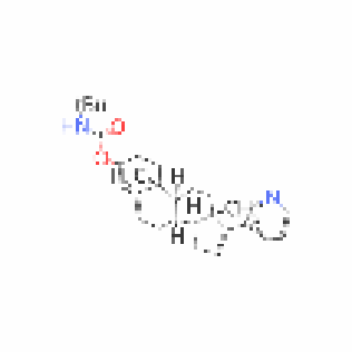 CC(C)(C)NC(=O)O[C@H]1CC[C@@]2(C)C(=CC[C@@H]3[C@@H]2CC[C@]2(C)C(c4cccnc4)=CC[C@@H]32)C1